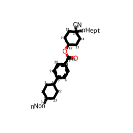 CCCCCCCCCC1CCC(c2ccc(C(=O)OC3CCC(C#N)(CCCCCCC)CC3)cc2)CC1